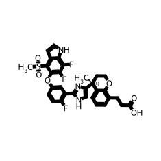 C[C@]1(c2c[nH]c(-c3cc(Oc4c(F)c(F)c5[nH]ccc5c4S(C)(=O)=O)ccc3F)n2)CCOc2c(CCC(=O)O)cccc21